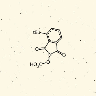 CC(C)(C)c1cccc2c1C(=O)N(OC(=O)O)C2=O